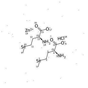 C[Se]CC[C@H](N)C(=O)[O-].C[Se]CC[C@H](N)C(=O)[O-].Cl.[Zn+2]